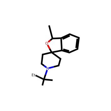 CCC(C)(C)N1CCC2(CC1)OC(C)c1ccccc12